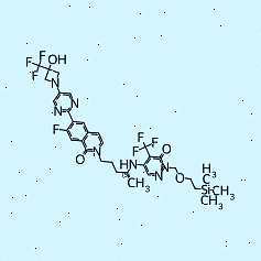 C[C@@H](CCCn1ccc2cc(-c3ncc(N4CC(O)(C(F)(F)F)C4)cn3)c(F)cc2c1=O)Nc1cnn(COCC[Si](C)(C)C)c(=O)c1C(F)(F)F